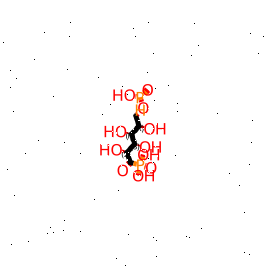 O=C([C@@H](O)[C@@H](O)[C@H](O)[C@H](O)CO[PH](=O)O)P(=O)(O)O